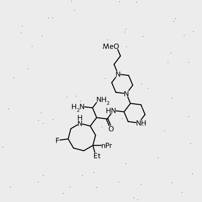 CCCC1(CC)CCC(F)CNC(C(C(=O)NC2CNCCC2N2CCN(CCOC)CC2)C(N)N)C1